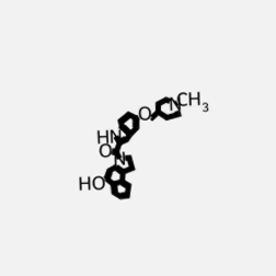 CN1CCC(COc2ccc3[nH]c(C(=O)N4CCc5c4cc(O)c4ccccc54)cc3c2)CC1